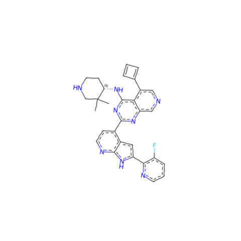 CC1(C)CNCC[C@@H]1Nc1nc(-c2ccnc3[nH]c(-c4ncccc4F)cc23)nc2cncc(C3=CC=C3)c12